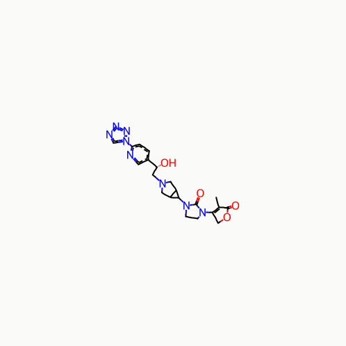 CC1=C(N2CCN(C3C4CN(C[C@@H](O)c5ccc(-n6cnnn6)nc5)CC43)C2=O)COC1=O